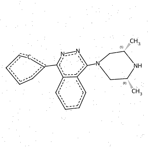 C[C@@H]1CN(c2nnc(-c3ccccc3)c3ccccc23)C[C@H](C)N1